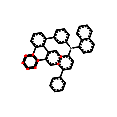 c1ccc(-c2ccc(N(c3cccc(-c4cccc(-c5ccccc5)c4-c4ccccc4-c4ccccc4)c3)c3cccc4ccccc34)cc2)cc1